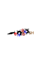 CC#CCOc1ccc(S(=O)(=O)N2CCC(S)C2)cn1